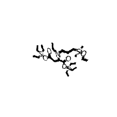 CCO[Si](C)(C)CCCN(CC)C(CC(=O)O[Si](CC)(CC)CC)C(=O)O[Si](CC)(CC)CC